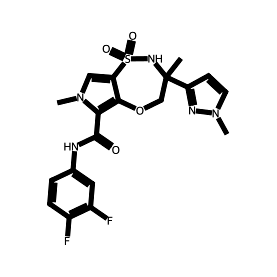 Cn1ccc(C2(C)COc3c(cn(C)c3C(=O)Nc3ccc(F)c(F)c3)S(=O)(=O)N2)n1